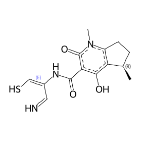 C[C@@H]1CCc2c1c(O)c(C(=O)N/C(C=N)=C/S)c(=O)n2C